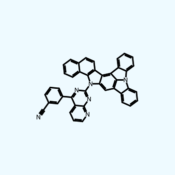 N#Cc1cccc(-c2nc(-n3c4cc5c6ccccc6n6c7ccccc7c(c4c4ccc7ccccc7c43)c56)nc3ncccc23)c1